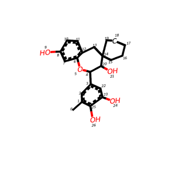 Cc1cc(C2Oc3cc(O)ccc3CC3(CCCCC3)C2O)cc(O)c1O